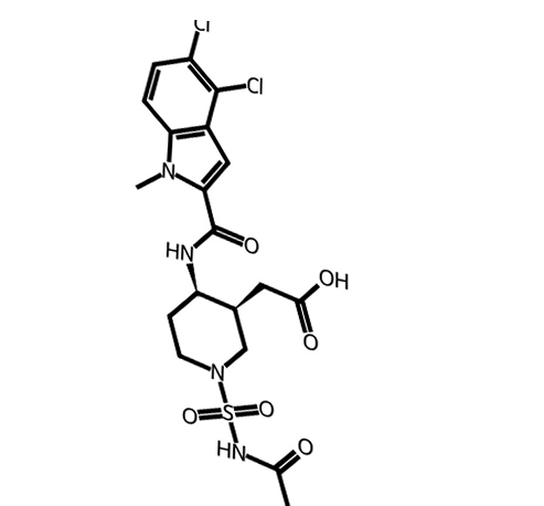 CC(=O)NS(=O)(=O)N1CC[C@@H](NC(=O)c2cc3c(Cl)c(Cl)ccc3n2C)[C@@H](CC(=O)O)C1